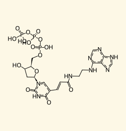 O=C(/C=C/c1cn([C@H]2CC(O)[C@@H](COP(=O)(O)OP(=O)(O)OP(=O)(O)O)O2)c(=O)[nH]c1=O)NCCNc1ncnc2[nH]cnc12